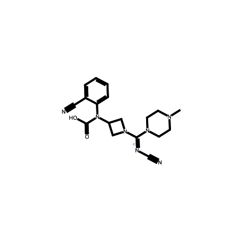 CN1CCN(/C(=N\C#N)N2CC(N(C(=O)O)c3ccccc3C#N)C2)CC1